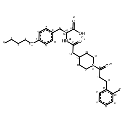 CCCCOc1ccc(C[C@H](NC(=O)CC2CCN(C(=O)CCc3ccccc3C)CC2)C(=O)O)cc1